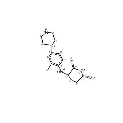 Cc1cc(N2CCNCC2)ccc1NC1CCC(=O)NC1=O